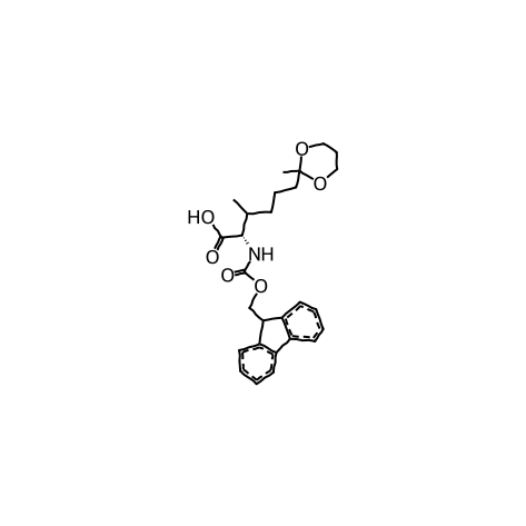 CC(CCCC1(C)OCCCO1)[C@H](NC(=O)OCC1c2ccccc2-c2ccccc21)C(=O)O